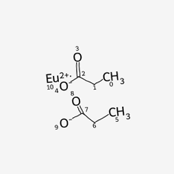 CCC(=O)[O-].CCC(=O)[O-].[Eu+2]